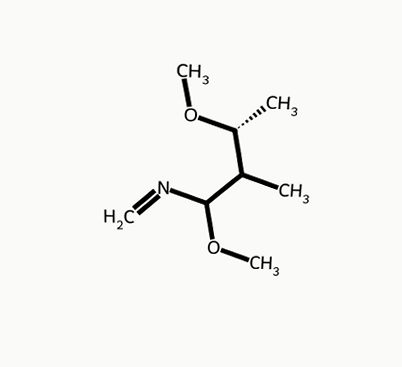 C=NC(OC)C(C)[C@@H](C)OC